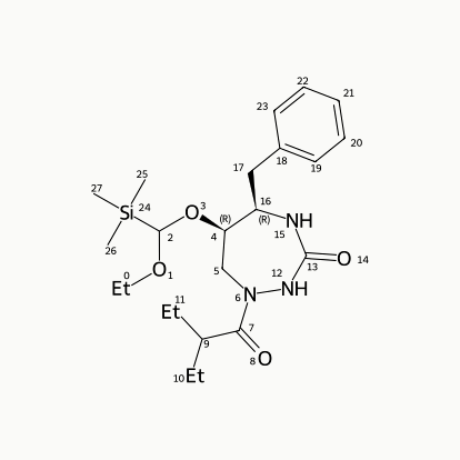 CCOC(O[C@@H]1CN(C(=O)C(CC)CC)NC(=O)N[C@@H]1Cc1ccccc1)[Si](C)(C)C